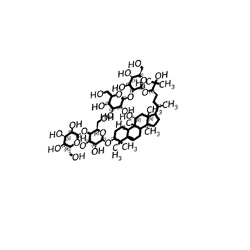 C[C@H](CC[C@@H](O[C@@H]1O[C@H](CO)[C@@H](O)[C@H](O)[C@H]1O[C@@H]1OC(CO)[C@@H](O)[C@H](O)[C@H]1O)C(C)(C)O)C1CC[C@@]2(C)C3CC=C4C(CC[C@H](O[C@@H]5O[C@H](CO)C(O[C@@H]6O[C@H](CO)[C@@H](O)[C@H](O)[C@H]6O)[C@H](O)[C@H]5O)C4(C)C)[C@]3(C)[C@H](O)C[C@]12C